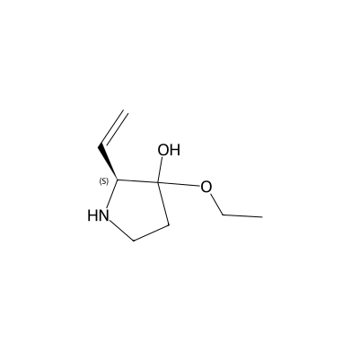 C=C[C@@H]1NCCC1(O)OCC